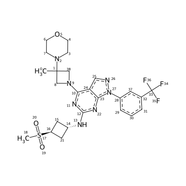 CC1(N2CCOCC2)CN(c2nc(N[C@H]3C[C@H](S(C)(=O)=O)C3)nc3c2cnn3-c2cccc(C(F)(F)F)c2)C1